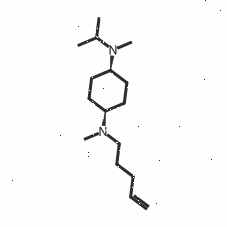 C=CCCCN(C)[C@H]1CC[C@@H](N(C)C(C)C)CC1